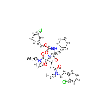 CON(C)C(=O)C(O)(CCC(=O)N(C)CCc1ccccc1Cl)NC(=O)[C@H](CC1CCCCC1)NC(=O)OCc1cccc(Cl)c1